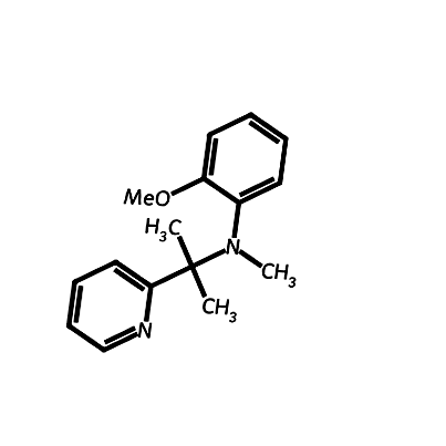 COc1ccccc1N(C)C(C)(C)c1ccccn1